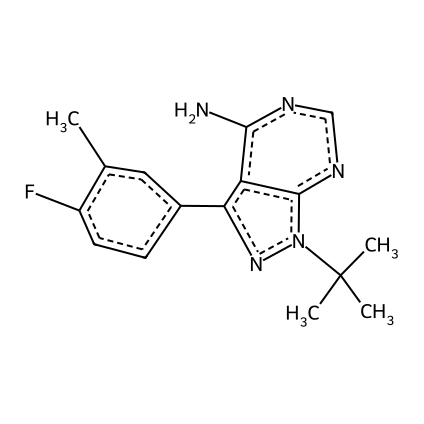 Cc1cc(-c2nn(C(C)(C)C)c3ncnc(N)c23)ccc1F